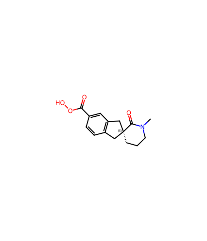 CN1CCC[C@@]2(Cc3ccc(C(=O)OO)cc3C2)C1=O